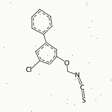 S=C=NCOc1cc(Cl)cc(-c2ccccc2)c1